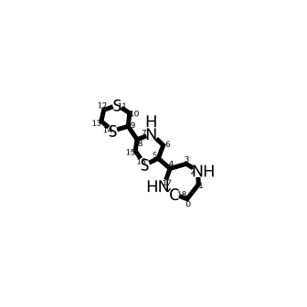 C1CNCC(C2CNC(C3CSCCS3)CS2)NC1